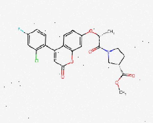 COC(=O)[C@H]1CCN(C(=O)[C@@H](C)Oc2ccc3c(-c4ccc(F)cc4Cl)cc(=O)oc3c2)C1